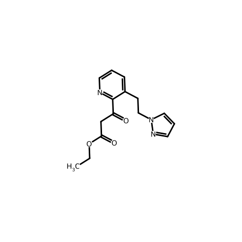 CCOC(=O)CC(=O)c1ncccc1CCn1cccn1